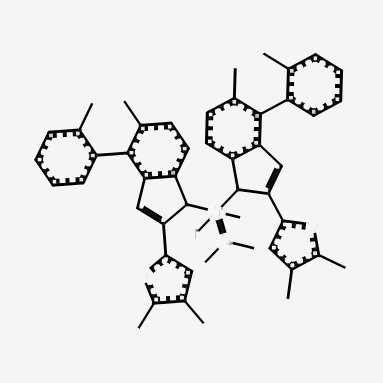 Cc1ccccc1-c1c(C)ccc2c1C=C(c1cc(C)c(C)o1)[CH]2[Zr]([Cl])([Cl])([CH]1C(c2cc(C)c(C)o2)=Cc2c1ccc(C)c2-c1ccccc1C)=[Si](C)C